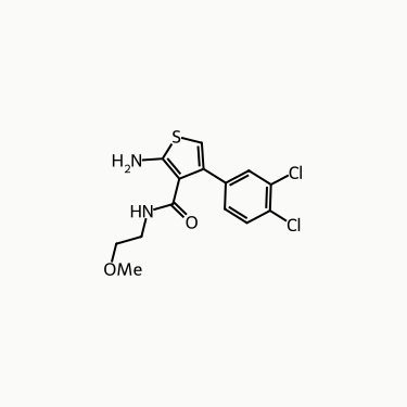 COCCNC(=O)c1c(-c2ccc(Cl)c(Cl)c2)csc1N